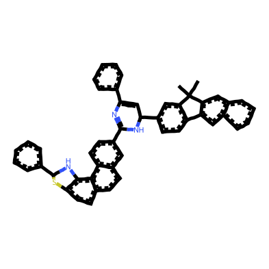 CC1(C)c2cc(C3C=C(c4ccccc4)N=C(c4ccc5c(ccc6ccc7c(c65)NC(c5ccccc5)S7)c4)N3)ccc2-c2cc3ccccc3cc21